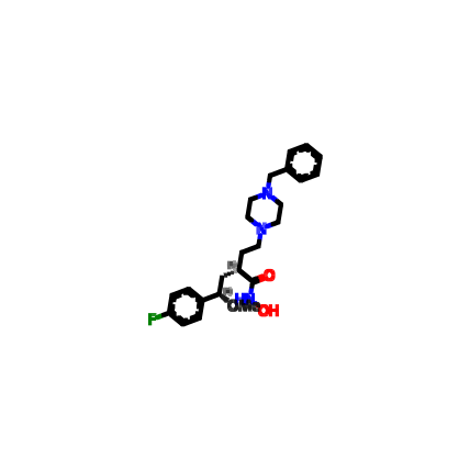 CO[C@H](C[C@H](CCN1CCN(Cc2ccccc2)CC1)C(=O)NO)c1ccc(F)cc1